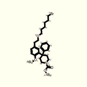 CCCCOc1ccc(CCOCCCCCCBr)cc1C1(c2ccccc2)CCN(C(=O)OC(C)(C)C)CC1